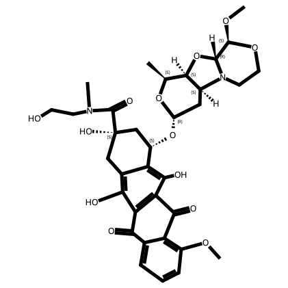 COc1cccc2c1C(=O)c1c(O)c3c(c(O)c1C2=O)C[C@@](O)(C(=O)N(C)CCO)C[C@@H]3O[C@H]1C[C@H]2[C@H](O[C@@H]3[C@@H](OC)OCCN32)[C@H](C)O1